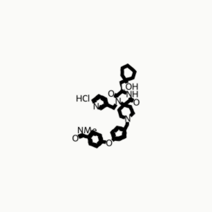 CNC(=O)c1ccc(Oc2ccc(CN3CCC4(CC3)C(=O)N[C@H](CC3(O)CCCCC3)C(=O)N4Cc3cccnc3)cc2)cc1.Cl